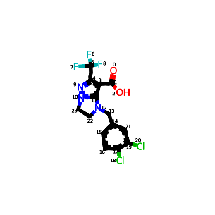 O=C(O)c1c(C(F)(F)F)nn2c1N(Cc1ccc(Cl)c(Cl)c1)CC2